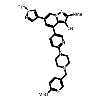 CNc1nn2cc(-c3cnn(C)c3)cc(-c3ccc(N4CCN(Cc5ccc(OC)nc5)CC4)nc3)c2c1C#N